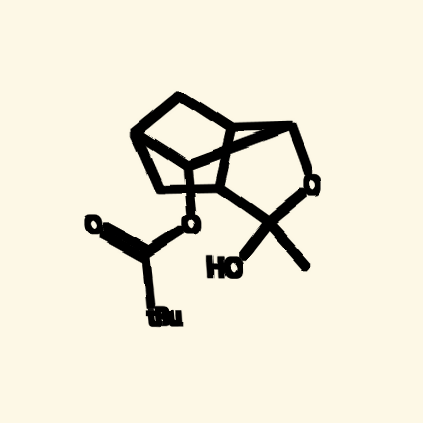 CC(C)(C)C(=O)OC1C2CC3C1OC(C)(O)C3C2